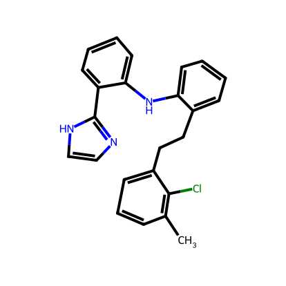 Cc1cccc(CCc2ccccc2Nc2ccccc2-c2ncc[nH]2)c1Cl